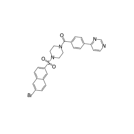 O=C(c1ccc(-c2ccncn2)cc1)N1CCN(S(=O)(=O)c2ccc3cc(Br)ccc3c2)CC1